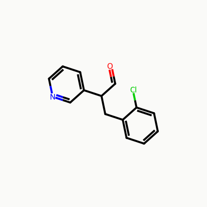 O=CC(Cc1ccccc1Cl)c1cccnc1